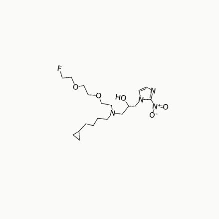 O=[N+]([O-])c1nccn1CC(O)CN(CCCCC1CC1)CCOCCOCCF